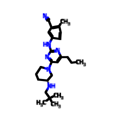 CCCc1cc(N2CCC[C@@H](NCC(C)(C)C)C2)nc(Nc2ccc(C)c(C#N)c2)n1